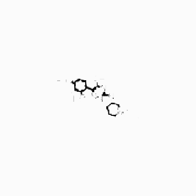 Cc1nc(N[C@@H]2CCCN(C)C2)nnc1-c1ccc(C(F)(F)F)cc1O